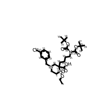 CCOP1(=O)CCN(Cc2cccc(Cl)c2)CC1(CCCCN(C(=O)OC(C)(C)C)C(=O)OC(C)(C)C)C(=O)O